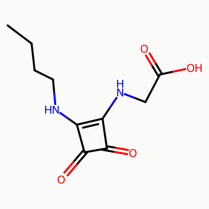 CCCCNc1c(NCC(=O)O)c(=O)c1=O